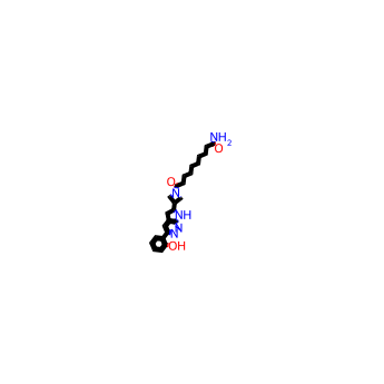 NC(=O)CCCCCCCCC(=O)N1CC(C2Cc3cc(-c4ccccc4O)nnc3N2)C1